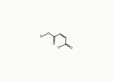 CCOC(=O)/C=C\C(=O)Cl